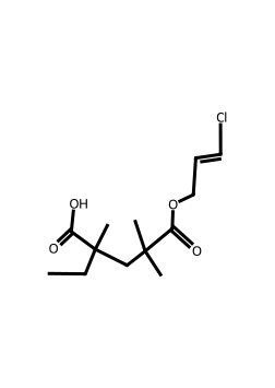 CCC(C)(CC(C)(C)C(=O)OC/C=C/Cl)C(=O)O